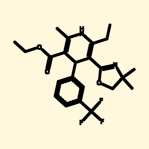 CCOC(=O)C1=C(C)NC(CC)=C(C2=NC(C)(C)CO2)C1c1cccc(C(F)(F)F)c1